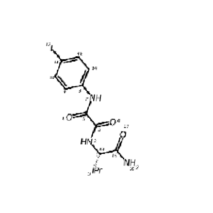 CC(C)[C@H](NC(=O)C(=O)Nc1ccc(I)cc1)C(N)=O